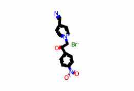 N#Cc1cc[n+](CC(=O)c2ccc([N+](=O)[O-])cc2)cc1.[Br-]